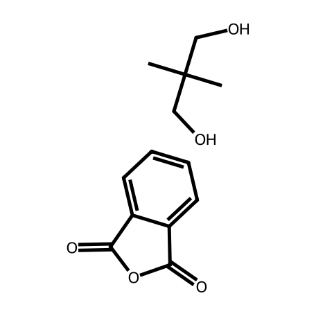 CC(C)(CO)CO.O=C1OC(=O)c2ccccc21